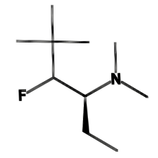 CC[C@@H](C(F)C(C)(C)C)N(C)C